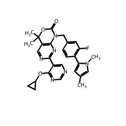 Cc1cc(-c2ccc(CN3C(=O)OC(C)(C)c4cnc(-c5cncnc5OC5CC5)nc43)cc2F)n(C)c1